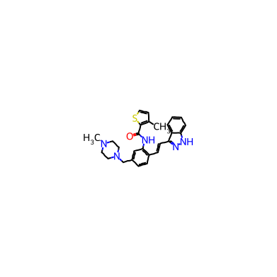 Cc1ccsc1C(=O)Nc1cc(CN2CCN(C)CC2)ccc1C=Cc1n[nH]c2ccccc12